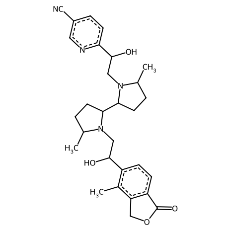 Cc1c(C(O)CN2C(C)CCC2C2CCC(C)N2CC(O)c2ccc(C#N)cn2)ccc2c1COC2=O